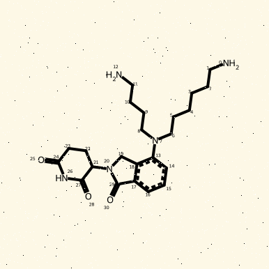 NCCCCCCN(CCCCN)c1cccc2c1CN(C1CCC(=O)NC1=O)C2=O